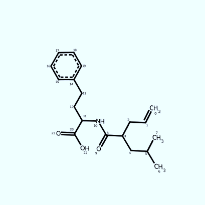 C=CCC(CC(C)C)C(=O)NC(CCc1ccccc1)C(=O)O